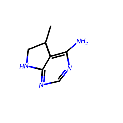 CC1CNc2ncnc(N)c21